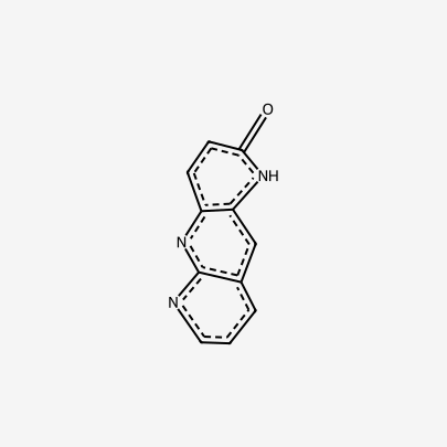 O=c1ccc2nc3ncccc3cc2[nH]1